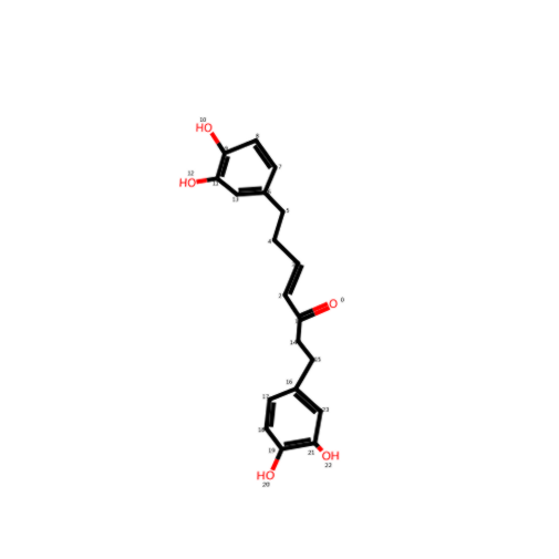 O=C(C=CCCc1ccc(O)c(O)c1)CCc1ccc(O)c(O)c1